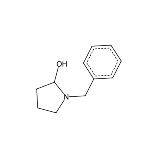 OC1CCCN1Cc1ccccc1